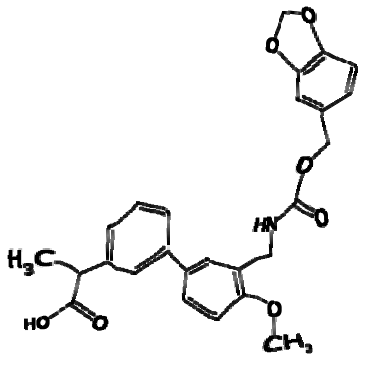 COc1ccc(-c2cccc(C(C)C(=O)O)c2)cc1CNC(=O)OCc1ccc2c(c1)OCO2